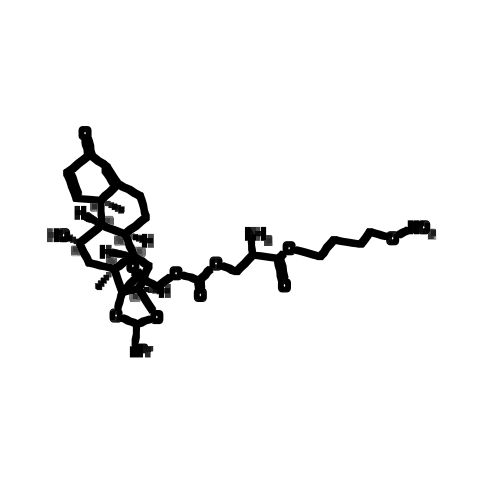 CCCC1O[C@@H]2C[C@H]3[C@@H]4CCC5=CC(=O)C=C[C@]5(C)[C@H]4[C@@H](O)C[C@]3(C)C2(C(=O)COC(=O)OCC(N)C(=O)OCCCCO[N+](=O)[O-])O1